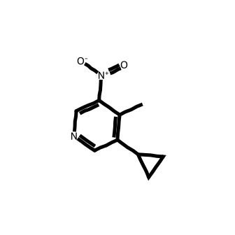 Cc1c(C2CC2)cncc1[N+](=O)[O-]